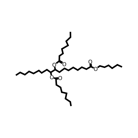 CCCCCCCCC(OC(=O)CCCCCCC)C(CCCCCCCC(=O)OCCCCCC)OC(=O)CCCCCCC